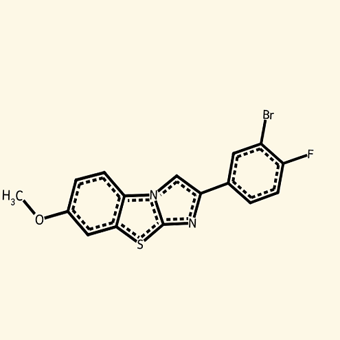 COc1ccc2c(c1)sc1nc(-c3ccc(F)c(Br)c3)cn12